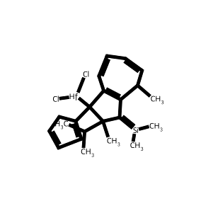 CC1C=CC=CC2=C1C(=[Si](C)C)C(C)(C(C)C)[C]2(C1=CC=CC1)[Hf]([Cl])[Cl]